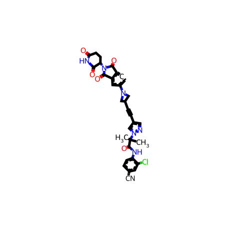 CC(C)(C(=O)Nc1ccc(C#N)cc1Cl)n1cc(C#CC2CN(c3ccc4c(c3)C(=O)N(C3CCC(=O)NC3=O)C4=O)C2)cn1